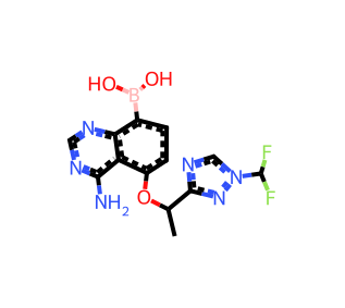 CC(Oc1ccc(B(O)O)c2ncnc(N)c12)c1ncn(C(F)F)n1